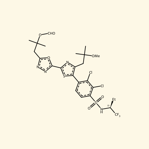 CC[C@H](NS(=O)(=O)c1ccc(-c2sc(-c3nnc(CC(C)(C)OC=O)o3)nc2CC(C)(C)OC)c(Cl)c1Cl)C(F)(F)F